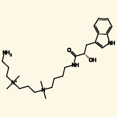 C[N+](C)(CCCN)CCC[N+](C)(C)CCCCNC(=O)[C@@H](O)Cc1c[nH]c2ccccc12